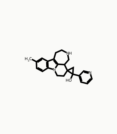 Cc1ccc2c(c1)c1c3n2CCC2(CC2(O)c2cccnc2)C3CNCC1